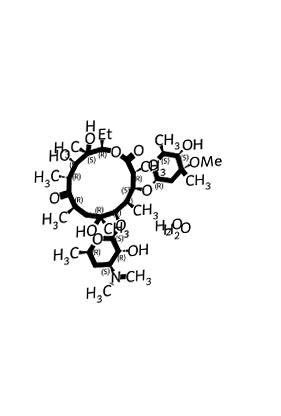 CC[C@H]1OC(=O)[C@H](C)[C@@H](O[C@H]2C[C@@](C)(OC)[C@@H](O)[C@H](C)O2)[C@@H](C)[C@@H](O[C@@H]2O[C@H](C)C[C@H](N(C)C)[C@H]2O)[C@](C)(O)C[C@@H](C)C(=O)[C@H](C)[C@H](O)[C@]1(C)O.O.O